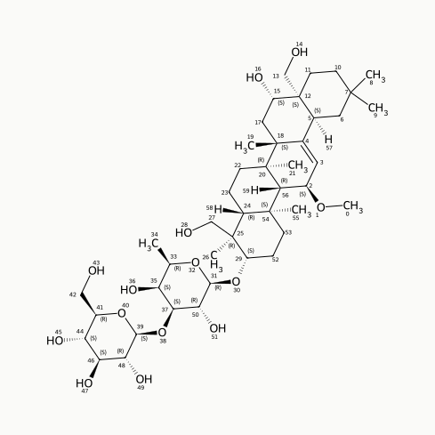 CO[C@@H]1C=C2[C@@H]3CC(C)(C)CC[C@]3(CO)[C@@H](O)C[C@@]2(C)[C@]2(C)CC[C@H]3[C@](C)(CO)[C@@H](O[C@@H]4O[C@H](C)[C@H](O)[C@H](O[C@@H]5O[C@H](CO)[C@@H](O)[C@H](O)[C@H]5O)[C@H]4O)CC[C@]3(C)[C@@H]12